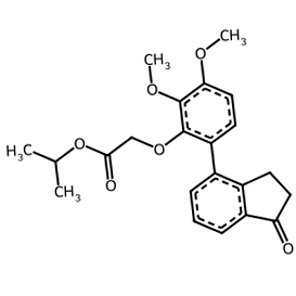 COc1ccc(-c2cccc3c2CCC3=O)c(OCC(=O)OC(C)C)c1OC